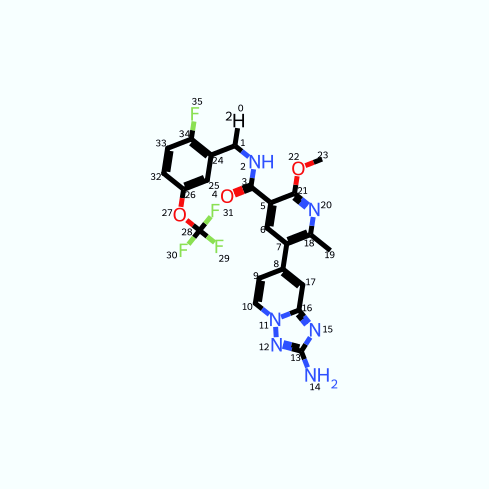 [2H]C(NC(=O)c1cc(-c2ccn3nc(N)nc3c2)c(C)nc1OC)c1cc(OC(F)(F)F)ccc1F